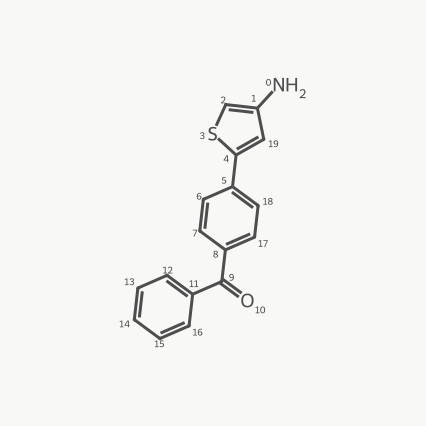 Nc1csc(-c2ccc(C(=O)c3ccccc3)cc2)c1